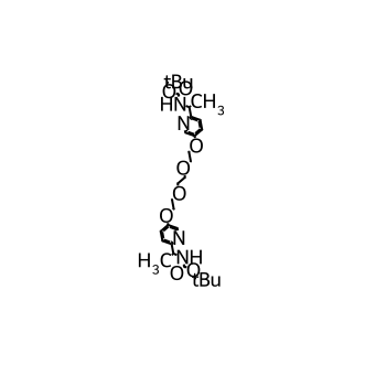 C[C@H](NC(=O)OC(C)(C)C)c1ccc(OCCOCCOCCOc2ccc([C@H](C)NC(=O)OC(C)(C)C)nc2)cn1